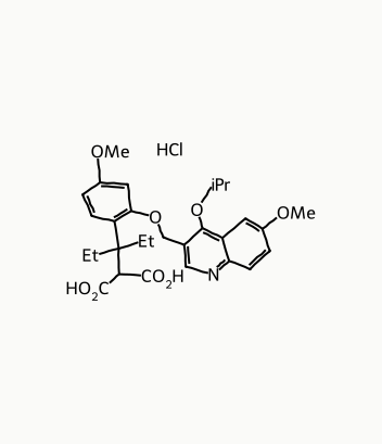 CCC(CC)(c1ccc(OC)cc1OCc1cnc2ccc(OC)cc2c1OC(C)C)C(C(=O)O)C(=O)O.Cl